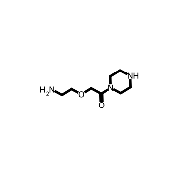 NCCOCC(=O)N1CCNCC1